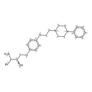 CC(C)C(N)[C@H](O)COc1ccc(OCCN2CCN(c3ccccc3)CC2)cc1